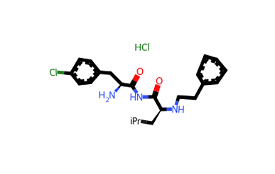 CC(C)C[C@H](NCCc1ccccc1)C(=O)NC(=O)[C@@H](N)Cc1ccc(Cl)cc1.Cl